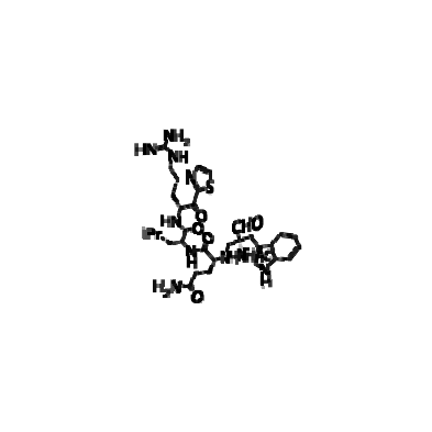 CC(=O)N[C@@](C=O)(CN[C@@H](CCC(N)=O)C(=O)N[C@@H](CC(C)C)C(=O)N[C@@H](CCCNC(=N)N)C(=O)c1nccs1)CC1=CNC2C=CC=CC12